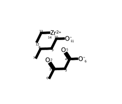 CC(=O)CC(=O)[O-].CCCC[O-].C[CH2][Zr+2]